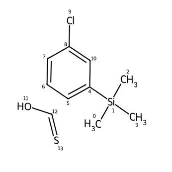 C[Si](C)(C)c1cccc(Cl)c1.OC=S